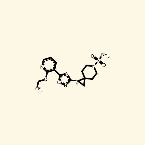 NS(=O)(=O)N1CCC2(CC1)C[C@H]2c1noc(-c2cccnc2OCC(F)(F)F)n1